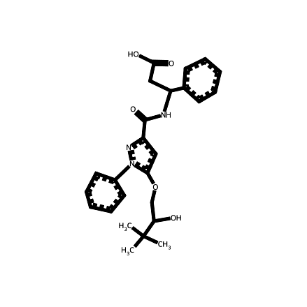 CC(C)(C)C(O)COc1cc(C(=O)NC(CC(=O)O)c2ccccc2)nn1-c1ccccc1